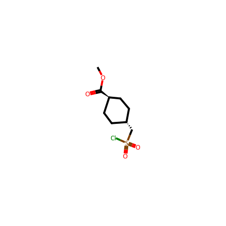 COC(=O)[C@H]1CC[C@H](CS(=O)(=O)Cl)CC1